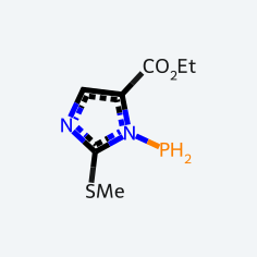 CCOC(=O)c1cnc(SC)n1P